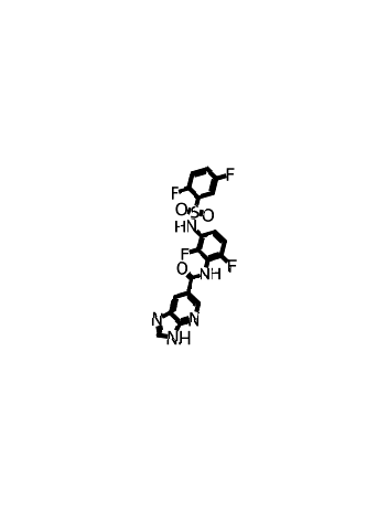 O=C(Nc1c(F)ccc(NS(=O)(=O)C2C=C(F)C=CC2F)c1F)c1cnc2[nH]cnc2c1